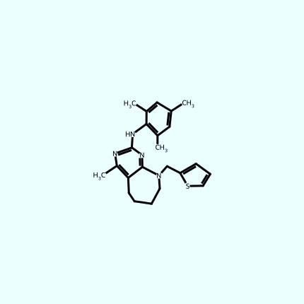 Cc1cc(C)c(Nc2nc(C)c3c(n2)N(Cc2cccs2)CCCC3)c(C)c1